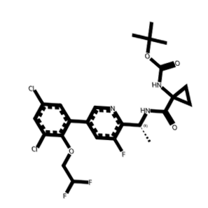 C[C@@H](NC(=O)C1(NC(=O)OC(C)(C)C)CC1)c1ncc(-c2cc(Cl)cc(Cl)c2OCC(F)F)cc1F